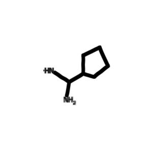 [NH]C(N)C1CCCC1